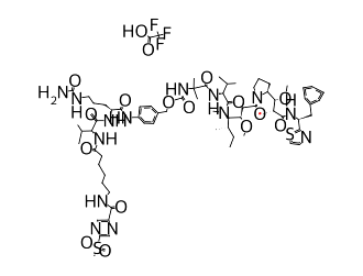 CC[C@H](C)[C@@H]([C@@H](CC(=O)N1CCC[C@H]1[C@H](OC)[C@@H](C)C(=O)N[C@@H](Cc1ccccc1)c1nccs1)OC)N(C)C(=O)[C@@H](NC(=O)C(C)(C)NC(=O)OCc1ccc(NC(=O)[C@H](CCCNC(N)=O)NC(=O)[C@@H](NC(=O)CCCCCNC(=O)c2cnc(S(C)(=O)=O)cn2)C(C)C)cc1)C(C)C.O=C(O)C(F)(F)F